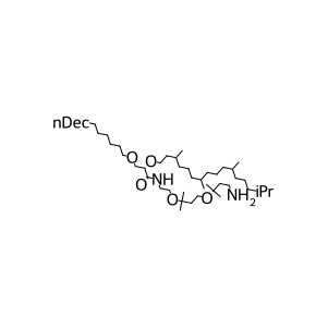 CCCCCCCCCCCCCCCCOCC(OCCC(C)CCCC(C)CCCC(C)CCCC(C)C)C(=O)NCCOC(C)(C)CCOC(C)(C)CCN